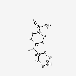 C[C@H](C1CCN(C(=O)O)CC1)N1CCNCC1